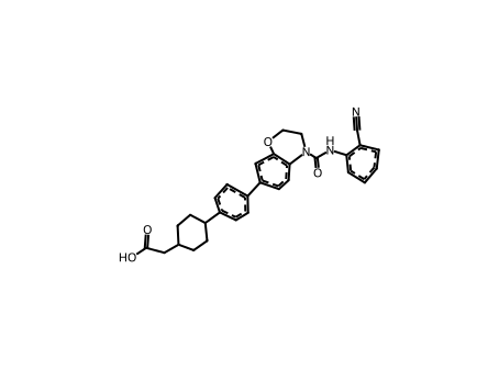 N#Cc1ccccc1NC(=O)N1CCOc2cc(-c3ccc(C4CCC(CC(=O)O)CC4)cc3)ccc21